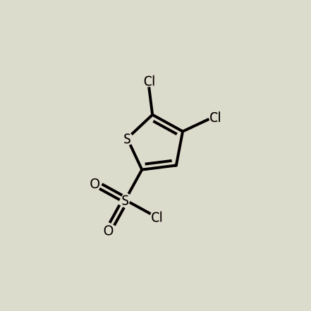 O=S(=O)(Cl)c1cc(Cl)c(Cl)s1